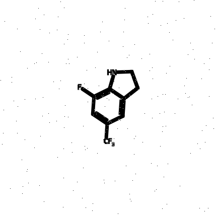 Fc1cc(C(F)(F)F)cc2c1NCC2